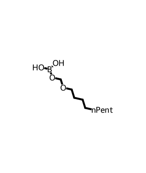 CCCCCCCCCOCOB(O)O